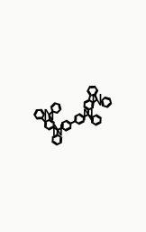 C1=CCC(n2c3ccccc3c3ccc(N(c4ccccc4)c4ccc(-c5ccc(N(c6ccccc6)c6ccc7c8ccccc8n(-c8ccccc8)c7c6)cc5)cc4)cc32)C=C1